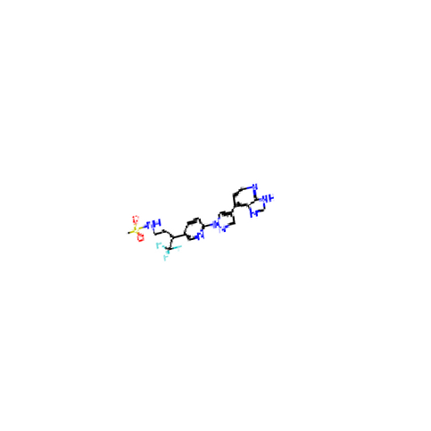 CS(=O)(=O)NCCC(c1ccc(-n2cc(-c3ccnc4[nH]cnc34)cn2)nc1)C(F)(F)F